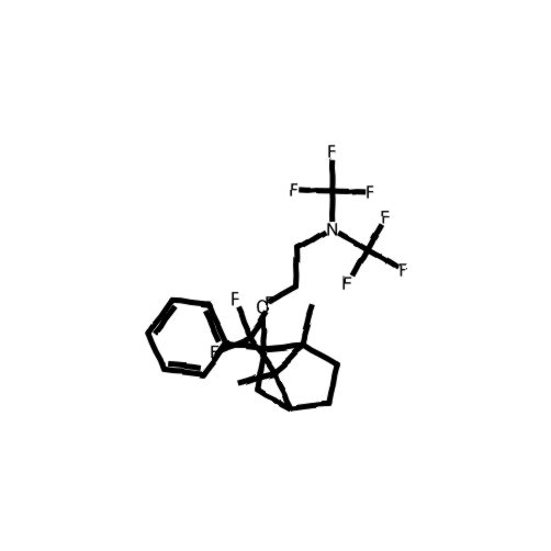 CC12CCC(CC1(OCCN(C(F)(F)F)C(F)(F)F)c1ccccc1)C2(C)C(F)(F)F